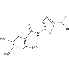 CCC(CC)c1nnc(NC(=O)c2cc(OC)c(OCC(C)C)cc2[N+](=O)[O-])s1